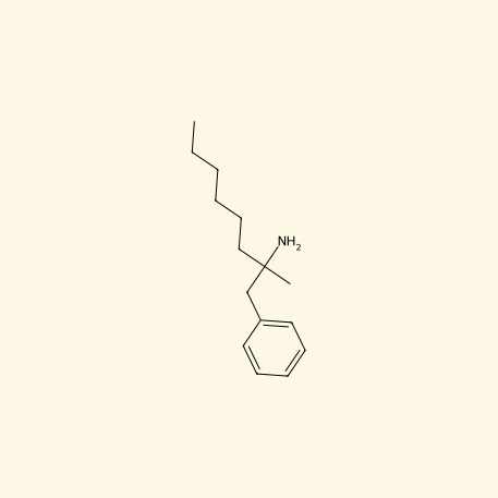 CCCCCCC(C)(N)Cc1ccccc1